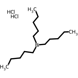 CCCC[CH2][Bi]([CH2]CCCC)[CH2]CCCC.Cl.Cl